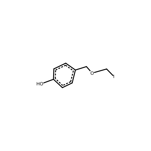 Oc1ccc(COCI)cc1